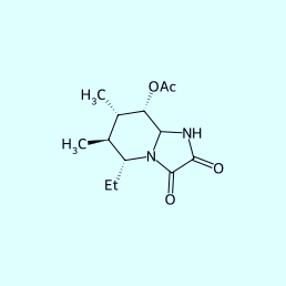 CC[C@@H]1[C@@H](C)[C@H](C)[C@H](OC(C)=O)C2NC(=O)C(=O)N21